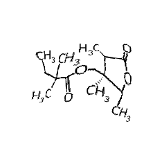 CCC(C)(C)C(=O)O[C@]1(C)C(C)OC(=O)C1C